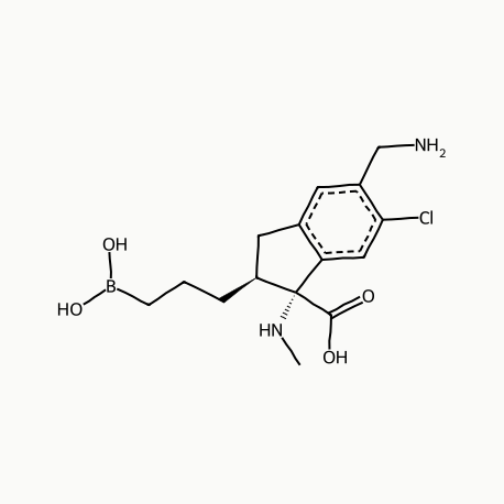 CN[C@@]1(C(=O)O)c2cc(Cl)c(CN)cc2C[C@@H]1CCCB(O)O